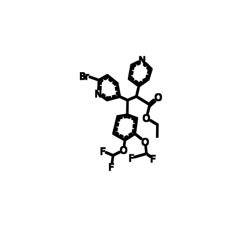 CCOC(=O)C(c1ccncc1)C(c1ccc(Br)nc1)c1ccc(OC(F)F)c(OC(F)F)c1